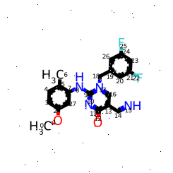 COc1ccc(C)c(Nc2nc(=O)c(C=N)cn2Cc2cc(F)cc(F)c2)c1